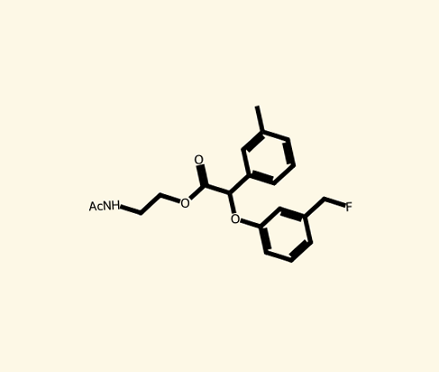 CC(=O)NCCOC(=O)C(Oc1cccc(CF)c1)c1cccc(C)c1